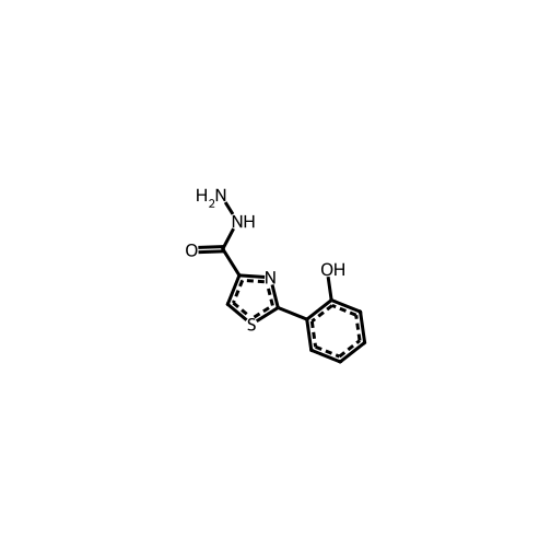 NNC(=O)c1csc(-c2ccccc2O)n1